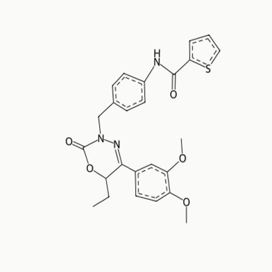 CCC1OC(=O)N(Cc2ccc(NC(=O)c3cccs3)cc2)N=C1c1ccc(OC)c(OC)c1